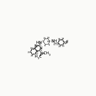 CN(C)c1nc(N[C@H]2CC[C@@H](NCc3ccc(F)cc3)CC2)nc2ccccc12